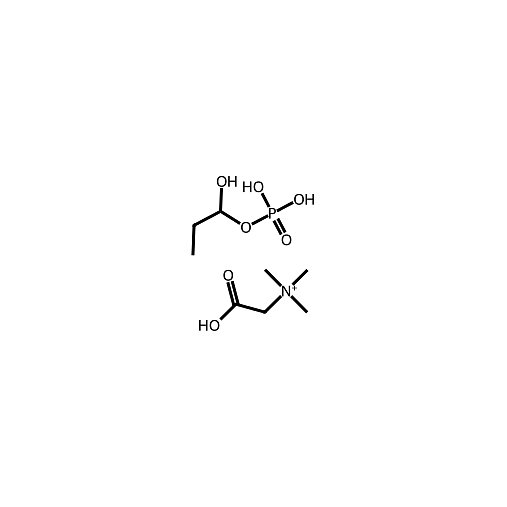 CCC(O)OP(=O)(O)O.C[N+](C)(C)CC(=O)O